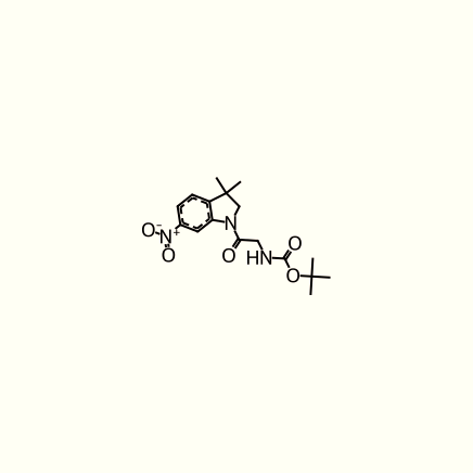 CC(C)(C)OC(=O)NCC(=O)N1CC(C)(C)c2ccc([N+](=O)[O-])cc21